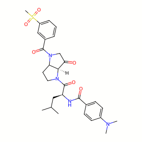 CC(C)C[C@H](NC(=O)c1ccc(N(C)C)cc1)C(=O)N1CCC2[C@H]1C(=O)CN2C(=O)c1cccc(S(C)(=O)=O)c1